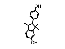 CC1c2ccc(O)cc2C(C)(C)C1c1ccc(O)cc1